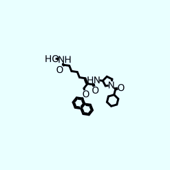 O=C(CCCC/C=C(\COc1cccc2ccccc12)C(=O)NC1CCN(C(=O)C2CCCCC2)C1)NO